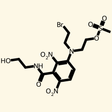 CS(=O)(=O)OCCN(CCBr)c1ccc([N+](=O)[O-])c(C(=O)NCCO)c1[N+](=O)[O-]